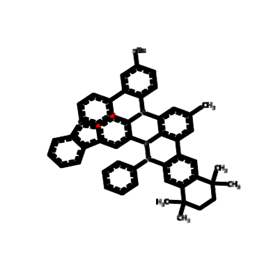 CCCCc1ccc(N2c3cc4sc5ccccc5c4cc3B3c4c(cc(C)cc42)-c2cc4c(cc2N3c2ccccc2)C(C)(C)CCC4(C)C)c(-c2ccccc2)c1